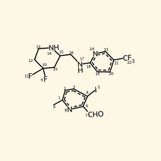 Cc1ccc(I)c(C=O)n1.FC1(F)CCNC(CNc2ccc(C(F)(F)F)cn2)C1